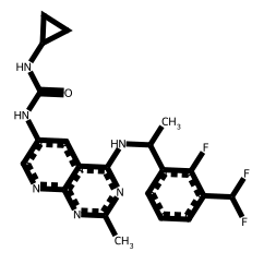 Cc1nc(NC(C)c2cccc(C(F)F)c2F)c2cc(NC(=O)NC3CC3)cnc2n1